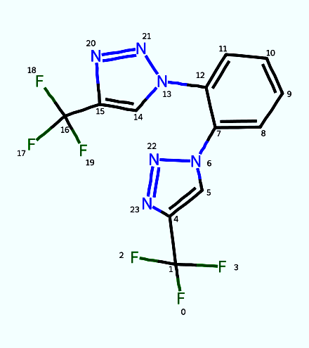 FC(F)(F)c1cn(-c2ccccc2-n2cc(C(F)(F)F)nn2)nn1